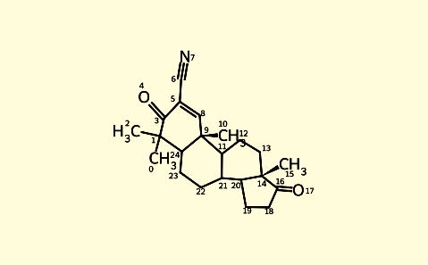 CC1(C)C(=O)C(C#N)=C[C@]2(C)C3CC[C@]4(C)C(=O)CCC4C3CCC12